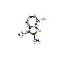 Cc1sc2c(F)cccc2c1C